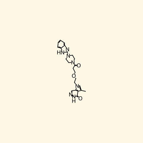 Cc1cn(CCOCCC(=O)N2CCN(c3nc4ccccc4[nH]3)CC2)c2cn[nH]c(=O)c12